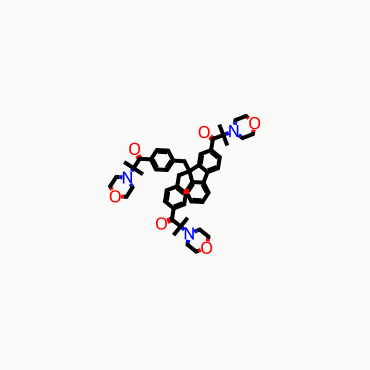 CC(C)(C(=O)c1ccc(CC2(Cc3ccc(C(=O)C(C)(C)N4CCOCC4)cc3)c3ccccc3-c3ccc(C(=O)C(C)(C)N4CCOCC4)cc32)cc1)N1CCOCC1